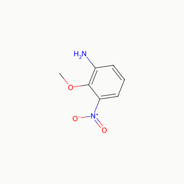 COc1c(N)cccc1[N+](=O)[O-]